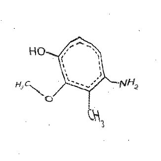 COc1c(O)ccc(N)c1C